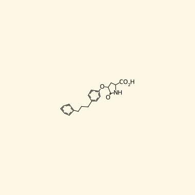 O=C(O)C1CC(Oc2ccc(CCCc3ccccc3)cc2)C(=O)N1